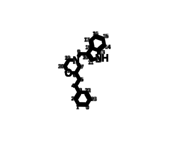 c1ccc(CCC2CN(Cc3c[nH]c4ccccc34)CCO2)cc1